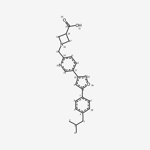 CC(C)Cc1ccc(-c2cc(-c3ccc(CN4CC(C(=O)O)C4)nc3)no2)cc1